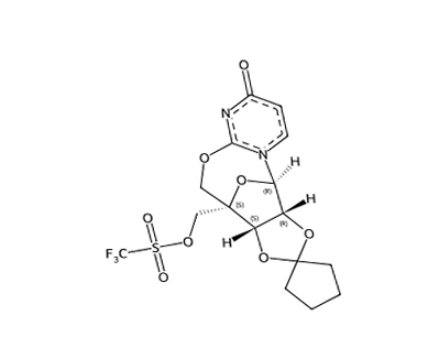 O=c1ccn2c(n1)OC[C@@]1(COS(=O)(=O)C(F)(F)F)O[C@@H]2[C@@H]2OC3(CCCC3)O[C@@H]21